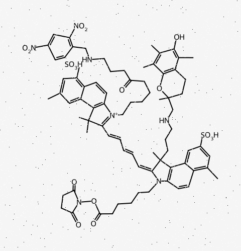 Cc1cc(S(=O)(=O)O)c2ccc3c(c2c1)C(C)(C)C(/C=C/C=C/C=C1/N(CCCCCC(=O)ON2C(=O)CCC2=O)c2ccc4c(C)cc(S(=O)(=O)O)cc4c2C1(C)CCCNCC1(C)CCc2c(C)c(O)c(C)c(C)c2O1)=[N+]3CCCCCC(=O)CCCNCc1ccc([N+](=O)[O-])cc1[N+](=O)[O-]